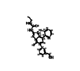 CCNC(=O)Nc1nc2c(F)c(-c3cccc(CO)c3)cc(-c3ncccc3F)c2s1